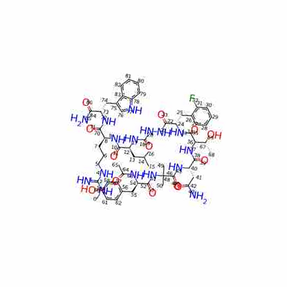 CNC(=N)NCCC[C@H](NC(=O)[C@H](CC(C)C)NC(=O)NNC(=O)[C@H](Cc1ccccc1F)NC(=O)C(NC(=O)[C@H](CC(N)=O)NC(=O)C(C)(C)NC(=O)[C@@H](Cc1ccc(O)cc1)NC(C)=O)[C@@H](C)O)C(=O)N[C@@H](Cc1c[nH]c2ccccc12)C(N)=O